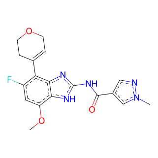 COc1cc(F)c(C2=CCOCC2)c2nc(NC(=O)c3cnn(C)c3)[nH]c12